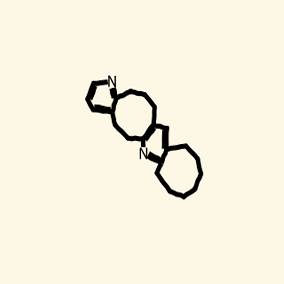 c1cnc2c(c1)CCc1nc3c(cc1CCC2)CCCCCCC3